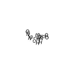 CC(C)(C)c1cc2c(cc1NC(=O)Nc1ccc(-c3ccc(CN4CCOCC4)nc3)c3ccccc13)OCO2